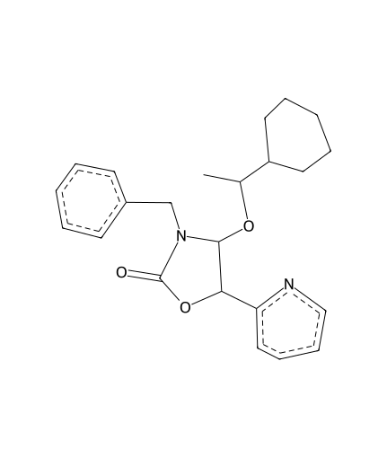 CC(OC1C(c2ccccn2)OC(=O)N1Cc1ccccc1)C1CCCCC1